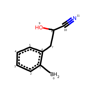 Bc1ccccc1CC(O)C#N